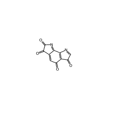 O=C1C=Nc2c3nc(=O)c(=O)c-3cc(=O)c21